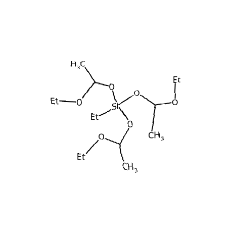 CCOC(C)O[Si](CC)(OC(C)OCC)OC(C)OCC